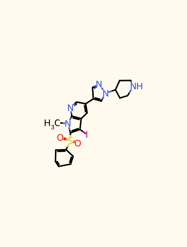 Cn1c(S(=O)(=O)c2ccccc2)c(I)c2cc(-c3cnn(C4CCNCC4)c3)cnc21